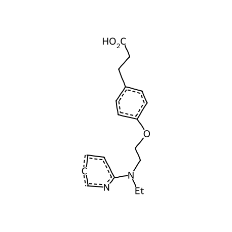 CCN(CCOc1ccc(CCC(=O)O)cc1)c1ccccn1